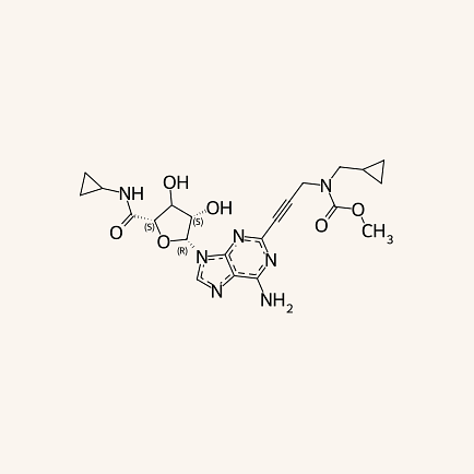 COC(=O)N(CC#Cc1nc(N)c2ncn([C@@H]3O[C@H](C(=O)NC4CC4)C(O)[C@@H]3O)c2n1)CC1CC1